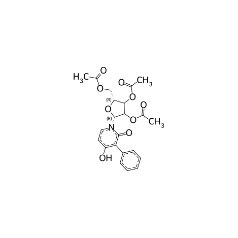 CC(=O)OC[C@H]1O[C@@H](n2ccc(O)c(-c3ccccc3)c2=O)C(OC(C)=O)C1OC(C)=O